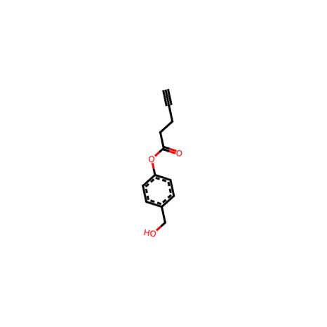 C#CCCC(=O)Oc1ccc(CO)cc1